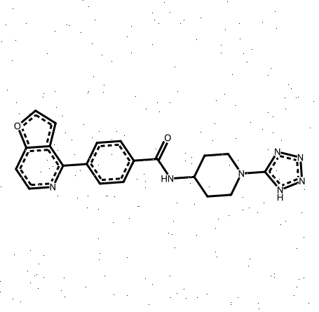 O=C(NC1CCN(c2nnn[nH]2)CC1)c1ccc(-c2nccc3occc23)cc1